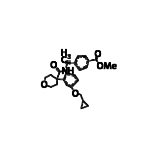 COC(=O)c1ccc([C@H](C)NC(=O)C2(c3cccc(OCC4CC4)c3)CCOCC2)cc1